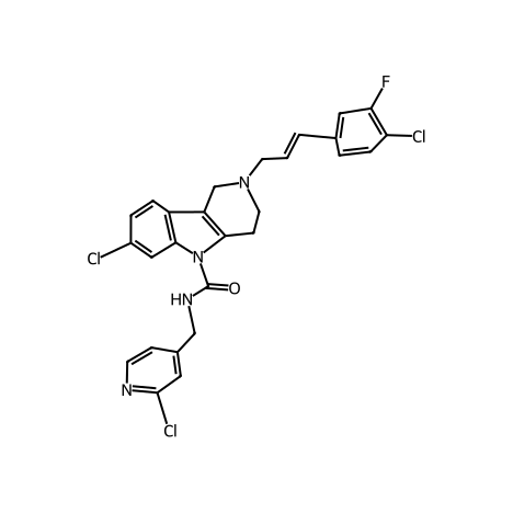 O=C(NCc1ccnc(Cl)c1)n1c2c(c3ccc(Cl)cc31)CN(C/C=C/c1ccc(Cl)c(F)c1)CC2